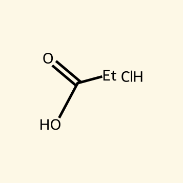 Cl.[CH2]CC(=O)O